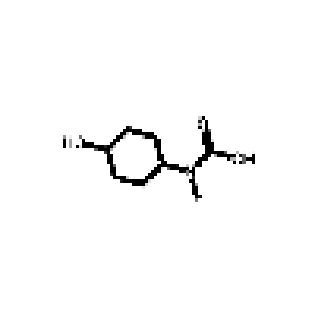 CN(C(=O)O)C1CCC(O)CC1